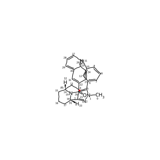 Cn1nc2c(c1-c1cccc(Cl)c1)C[C@H]1CCC[C@@H]2N1C(=O)c1ccc2ncccc2c1